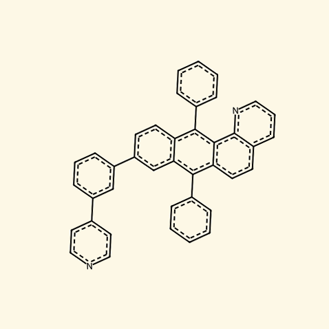 c1ccc(-c2c3cc(-c4cccc(-c5ccncc5)c4)ccc3c(-c3ccccc3)c3c2ccc2cccnc23)cc1